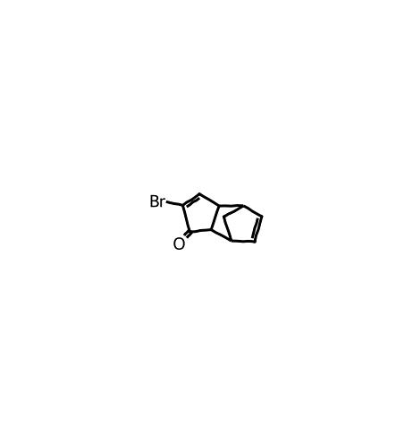 O=C1C(Br)=CC2C3C=CC(C3)C12